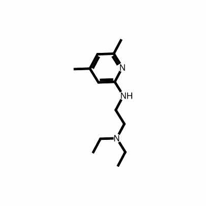 CCN(CC)CCNc1cc(C)cc(C)n1